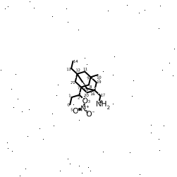 CCC(O[N+](=O)[O-])C12CC3(C)CC(CC)(CC(CN)(C3)C1)C2